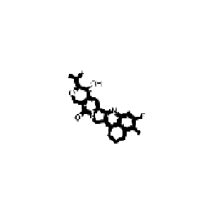 CC(C)=C1OCc2c(cc3n(c2=O)Cc2c-3nc3cc(F)c(C)c4c3c2CCC4)[C@@H]1O